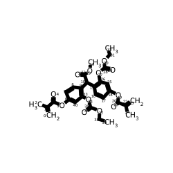 C=C(C)C(=O)Oc1ccc(C(C(=O)OC)c2ccc(OC(=O)C(=C)C)cc2OC(=O)OCC)c(OC(=O)OCC)c1